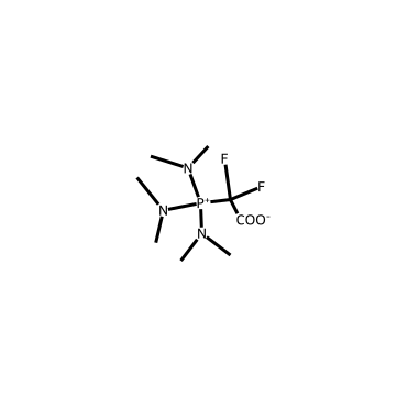 CN(C)[P+](N(C)C)(N(C)C)C(F)(F)C(=O)[O-]